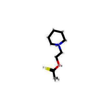 CC(=S)OCCN1CCCCC1